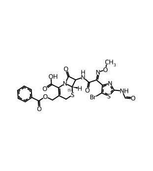 CON=C(C(=O)NC1C(=O)N2C(C(=O)O)=C(COC(=O)c3ccccc3)CS[C@@H]12)c1nc(NC=O)sc1Br